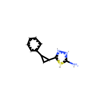 Nc1nnc(C2CC2c2ccccc2)s1